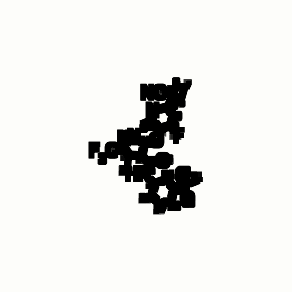 Cc1nc(C2(C#N)CCC2)cc(F)c1Oc1nnc(C(F)(F)F)c(C)c1C(=O)Nc1cccc(S(C)(=O)=O)c1